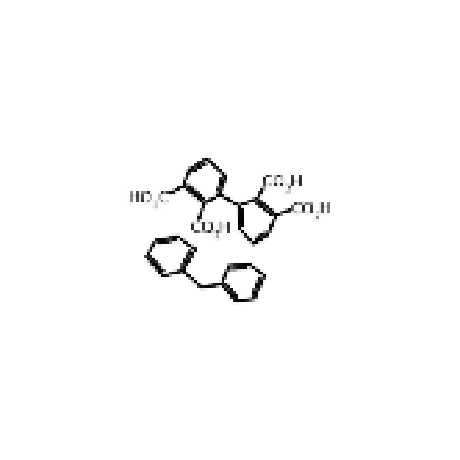 O=C(O)c1cccc(-c2cccc(C(=O)O)c2C(=O)O)c1C(=O)O.c1ccc(Cc2ccccc2)cc1